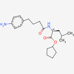 CC(C)C[C@H](NC(=O)CCCc1ccc(N)cc1)C(=O)OC1CCCC1